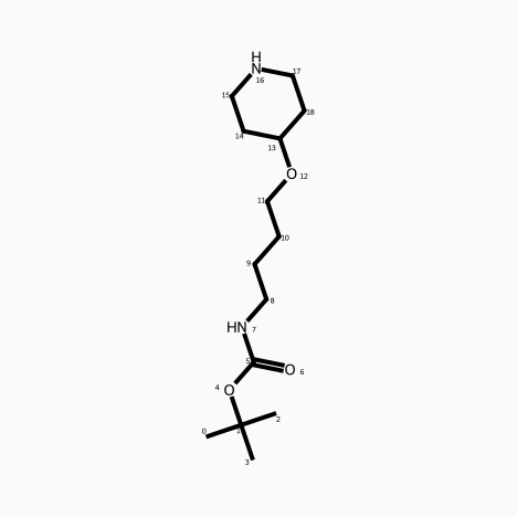 CC(C)(C)OC(=O)NCCCCOC1CCNCC1